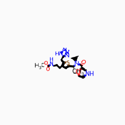 COC(=O)NCCCc1cc([C@@H](C)N(C(=O)[C@H]2CNCCO2)C2CC2)sc1Cc1nnn[nH]1